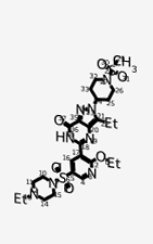 CCOc1ncc(S(=O)(=O)N2CCN(CC)CC2)cc1-c1nc2c(CC)n(C3CCN(S(C)(=O)=O)CC3)nc2c(=O)[nH]1